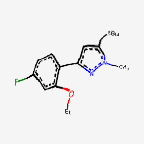 CCOc1cc(F)ccc1-c1cc(C(C)(C)C)n(C)n1